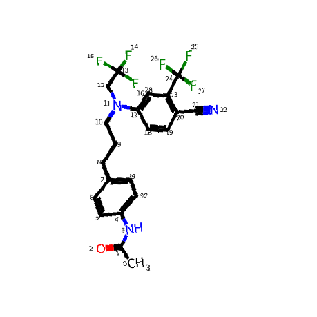 CC(=O)Nc1ccc(CCCN(CC(F)(F)F)c2ccc(C#N)c(C(F)(F)F)c2)cc1